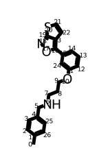 Cc1ccc(CNCCCOc2cccc(-c3onc4sccc34)c2)cc1